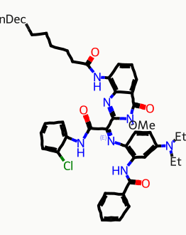 CCCCCCCCCCCCCCCC(=O)Nc1cccc2c(=O)n(OC)c(/C(=N\c3ccc(N(CC)CC)cc3NC(=O)c3ccccc3)C(=O)Nc3ccccc3Cl)nc12